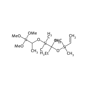 C=C[Si](C)(C)OC(C)(CC)[Si](C)(C)OC(C)[Si](OC)(OC)OC